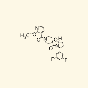 CCOc1ncccc1C(=O)N1CCC2(CC1)O[C@@H]1CC[C@@H](c3cc(F)cc(F)c3)N1C2=O